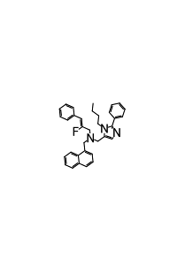 CCCCn1c(CN(C/C(F)=C/c2ccccc2)Cc2cccc3ccccc23)cnc1-c1ccccc1